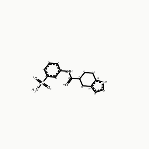 NS(=O)(=O)c1cccc(NC(=O)C2CCc3sccc3C2)c1